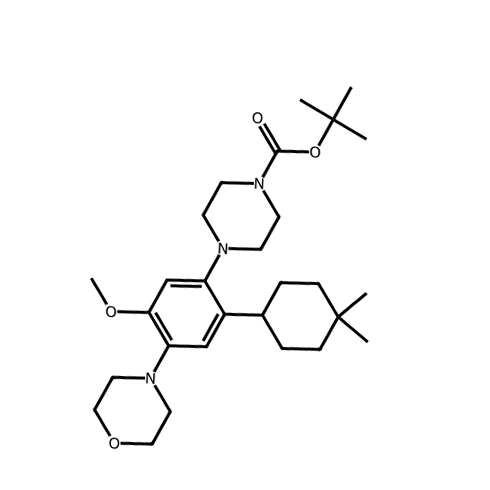 COc1cc(N2CCN(C(=O)OC(C)(C)C)CC2)c(C2CCC(C)(C)CC2)cc1N1CCOCC1